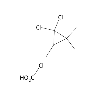 CC1C(C)(C)C1(Cl)Cl.O=C(O)Cl